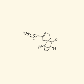 CCOC(=O)C1=CCCC2(C1)C(=O)[C@@H]1CC[C@H]2C1